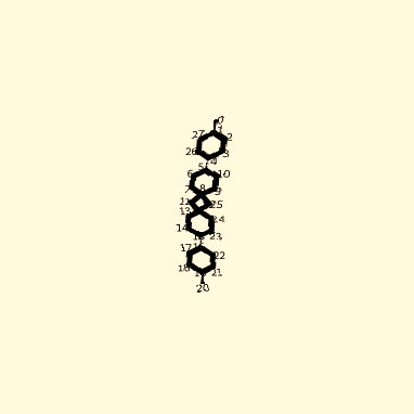 C[C@H]1CC[C@H](C2CCC3(CC2)CC2(CCC([C@H]4CC[C@H](C)CC4)CC2)C3)CC1